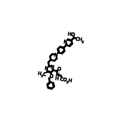 Cc1nc(CC2CCN(c3ccc(-c4ccc(C(C)O)cn4)cc3)CC2)nc(C(=O)NCC(=O)O)c1OCc1ccccc1